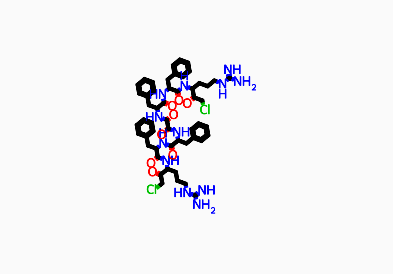 N=C(N)NCCCC(NC(=O)C(Cc1ccccc1)NC(=O)C(Cc1ccccc1)NC(=O)C(=O)NC(Cc1ccccc1)C(=O)NC(Cc1ccccc1)C(=O)NC(CCCNC(=N)N)C(=O)CCl)C(=O)CCl